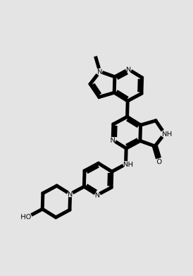 Cn1ccc2c(-c3cnc(Nc4ccc(N5CCC(O)CC5)nc4)c4c3CNC4=O)ccnc21